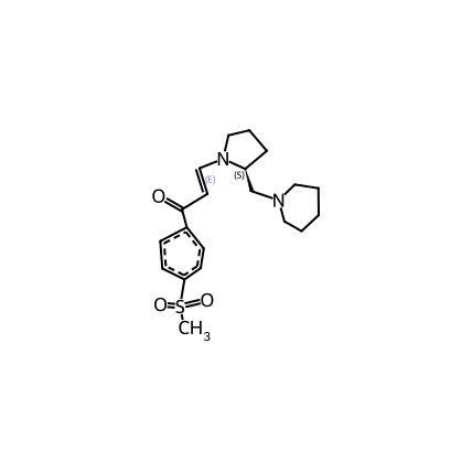 CS(=O)(=O)c1ccc(C(=O)/C=C/N2CCC[C@H]2CN2CCCCC2)cc1